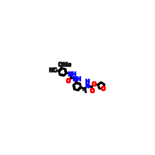 COc1cc(NC(=O)Nc2cccc([C@H](C)NC(=O)OC3CCOC3)c2)ccc1C#N